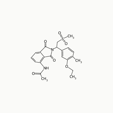 CCOc1cc(C(CS(C)(=O)=O)N2C(=O)c3cccc(NC(C)=O)c3C2=O)ccc1C